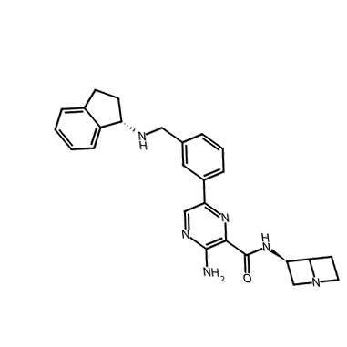 Nc1ncc(-c2cccc(CN[C@H]3CCc4ccccc43)c2)nc1C(=O)N[C@@H]1CN2CCC12